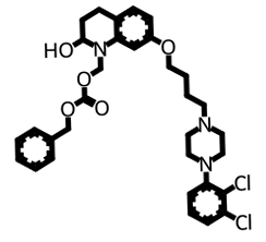 O=C(OCc1ccccc1)OCN1c2cc(OCCCCN3CCN(c4cccc(Cl)c4Cl)CC3)ccc2CCC1O